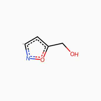 OCc1c[c]no1